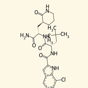 CC(C)(C)C[C@H](NC(=O)c1cc2cccc(Cl)c2[nH]1)C(=O)N[C@@H](C[C@@H]1CCCNC1=O)C(N)=O